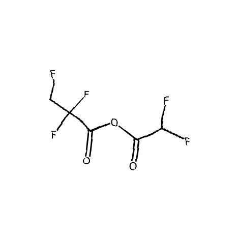 O=C(OC(=O)C(F)(F)CF)C(F)F